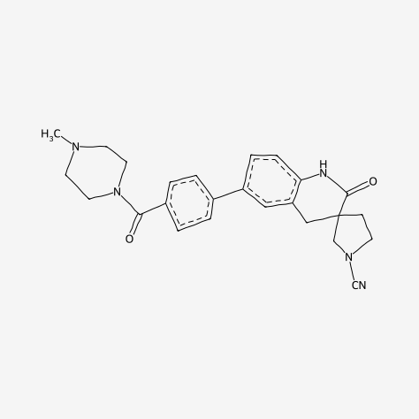 CN1CCN(C(=O)c2ccc(-c3ccc4c(c3)CC3(CCN(C#N)C3)C(=O)N4)cc2)CC1